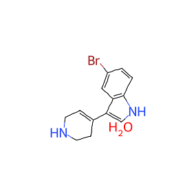 Brc1ccc2[nH]cc(C3=CCNCC3)c2c1.O